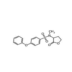 CN(C1CCOC1=O)S(=O)(=O)c1ccc(Oc2ccccc2)cc1